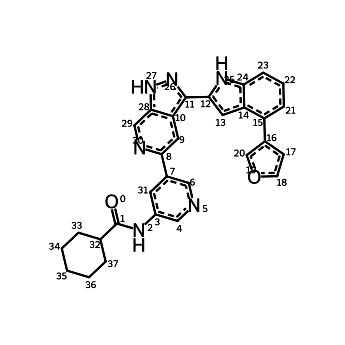 O=C(Nc1cncc(-c2cc3c(-c4cc5c(-c6ccoc6)cccc5[nH]4)n[nH]c3cn2)c1)C1CCCCC1